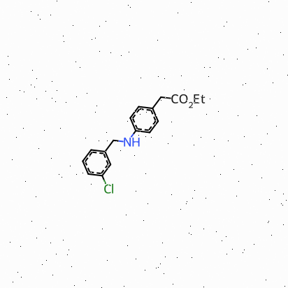 CCOC(=O)Cc1ccc(NCc2cccc(Cl)c2)cc1